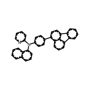 c1ccc(N(c2ccc(-c3ccc4c5c(cccc35)-c3ccccc3-4)cc2)c2cccc3ccccc23)nc1